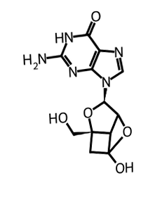 Nc1nc2c(ncn2[C@@H]2O[C@@]3(CO)CC4(O)OC2C43)c(=O)[nH]1